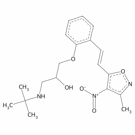 Cc1noc(C=Cc2ccccc2OCC(O)CNC(C)(C)C)c1[N+](=O)[O-]